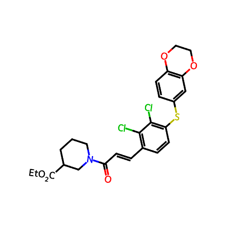 CCOC(=O)C1CCCN(C(=O)C=Cc2ccc(Sc3ccc4c(c3)OCCO4)c(Cl)c2Cl)C1